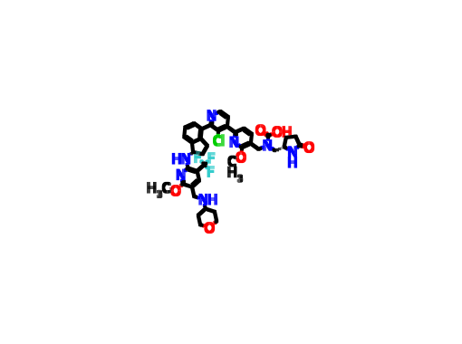 COc1nc(-c2ccnc(-c3cccc4c3CC[C@@H]4Nc3nc(OC)c(CNC4CCOCC4)cc3C(F)(F)F)c2Cl)ccc1CN(C[C@@H]1CCC(=O)N1)C(=O)O